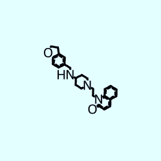 O=c1ccc2ccccc2n1CCN1CCC(NCc2ccc3c(c2)CCO3)CC1